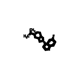 CC(C)N1CCC2CN(c3ccnc4ccc(F)cc34)CC2C1